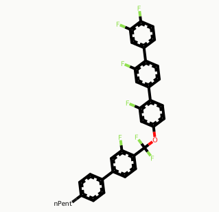 CCCCCc1ccc(-c2ccc(C(F)(F)Oc3ccc(-c4ccc(-c5ccc(F)c(F)c5)c(F)c4)c(F)c3)c(F)c2)cc1